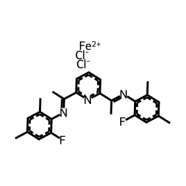 CC(=Nc1c(C)cc(C)cc1F)c1cccc(C(C)=Nc2c(C)cc(C)cc2F)n1.[Cl-].[Cl-].[Fe+2]